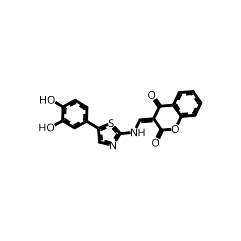 O=C1Oc2ccccc2C(=O)/C1=C/Nc1ncc(-c2ccc(O)c(O)c2)s1